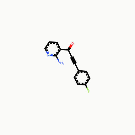 Nc1ncccc1C(=O)C#Cc1ccc(F)cc1